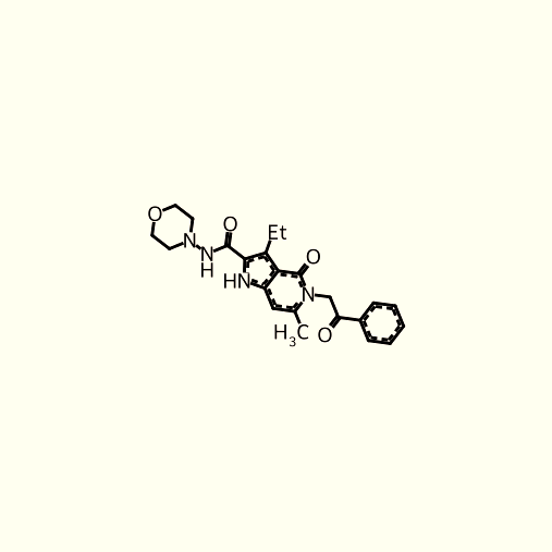 CCc1c(C(=O)NN2CCOCC2)[nH]c2cc(C)n(CC(=O)c3ccccc3)c(=O)c12